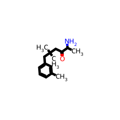 Cc1cccc(CC(C)(C)CC(=O)C(C)N)c1